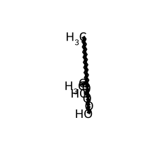 CCCCCCCCCCCCCCCCCCC(COCC(O)COCCOCCO)OC